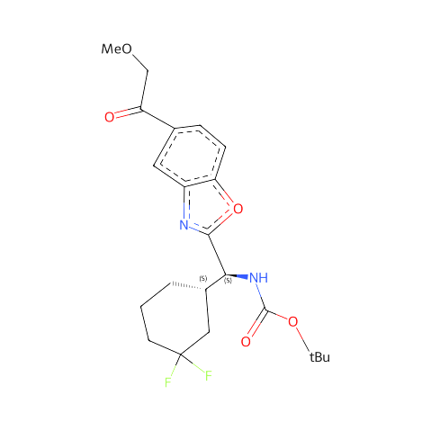 COCC(=O)c1ccc2oc([C@@H](NC(=O)OC(C)(C)C)[C@H]3CCCC(F)(F)C3)nc2c1